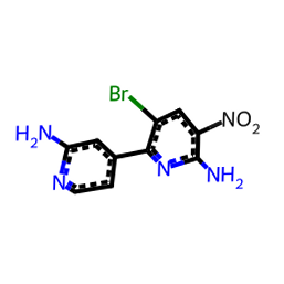 Nc1cc(-c2nc(N)c([N+](=O)[O-])cc2Br)ccn1